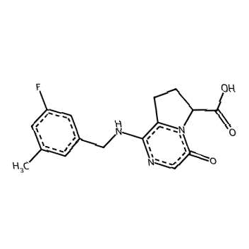 Cc1cc(F)cc(CNc2ncc(=O)n3c2CCC3C(=O)O)c1